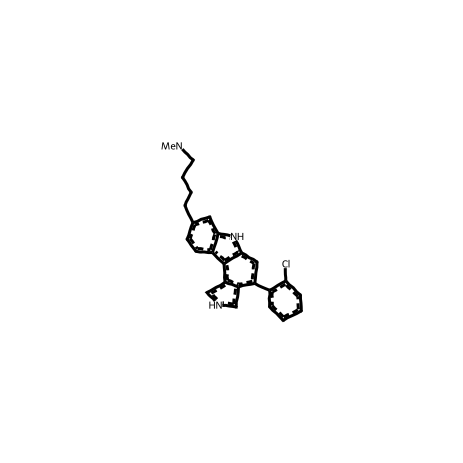 CNCCCCc1ccc2c(c1)[nH]c1cc(-c3ccccc3Cl)c3c[nH]cc3c12